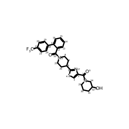 O=C(c1csc(C2CCN(C(=O)c3ccccc3-c3ccc(C(F)(F)F)cc3)CC2)n1)N1CCCC(O)C1